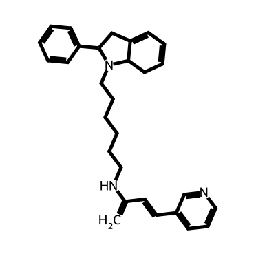 C=C(/C=C/c1cccnc1)NCCCCCCN1C2CC=CC=C2CC1c1ccccc1